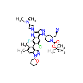 CCN(C)C1CN(c2nc3c(F)c(-c4c(C)c(C)cc5c4cnn5C4CCCCO4)c(Cl)cc3c3c2cnn3[C@H]2CCN(C(=O)OC(C)(C)C)[C@H](CC#N)C2)C1